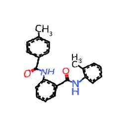 Cc1ccc(C(=O)Nc2ccccc2C(=O)Nc2ccccc2C)cc1